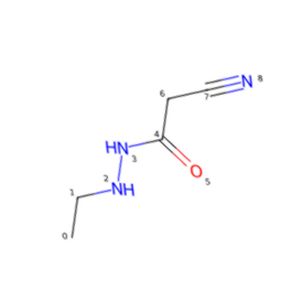 CCNNC(=O)CC#N